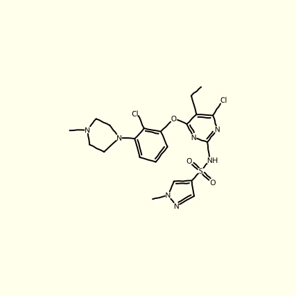 CCc1c(Cl)nc(NS(=O)(=O)c2cnn(C)c2)nc1Oc1cccc(N2CCN(C)CC2)c1Cl